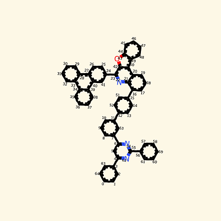 c1ccc(-c2cc(-c3cccc(-c4ccc(-c5cccc6c5nc(-c5ccc7c8ccccc8c8ccccc8c7c5)c5oc7ccccc7c56)cc4)c3)nc(-c3ccccc3)n2)cc1